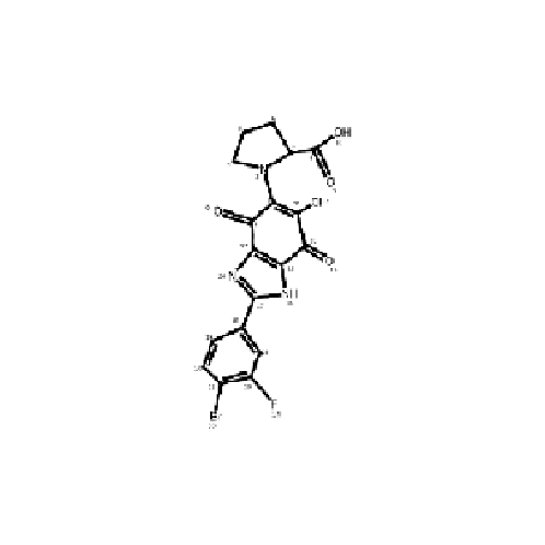 O=C1C(N2CCC[C@H]2C(=O)O)=C(Cl)C(=O)c2[nH]c(-c3ccc(Br)c(F)c3)nc21